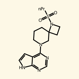 CCCS(=O)(=O)N1CCC12CCCN(c1ncnc3[nH]ccc13)C2